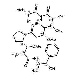 CC[C@H](C)C([C@@H](CC(=O)N1CCC[C@H]1C(OC)[C@@H](C)C(=O)N[C@H](C)[C@@H](O)c1ccccc1)OC)N(C)[C@H](C(=O)NC(=O)[C@@H](NC)C(C)C)C(C)C